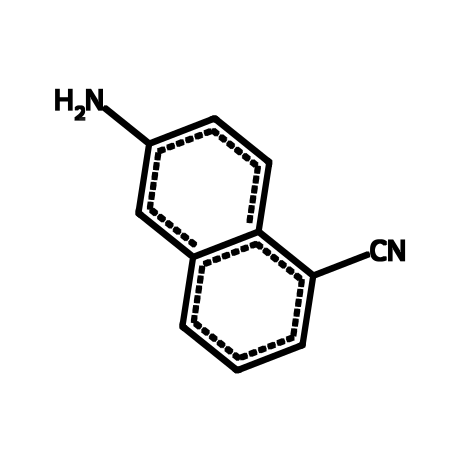 N#Cc1cccc2cc(N)ccc12